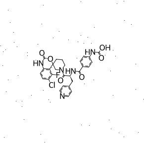 O=C(O)Nc1ccc(C(=O)N[C@@H](Cc2ccncc2)C(=O)N2CCCC3(C2)OC(=O)Nc2ccc(Cl)c(F)c23)cc1